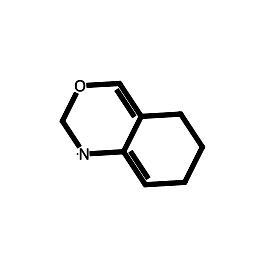 C1=C2CCCC=C2[N]CO1